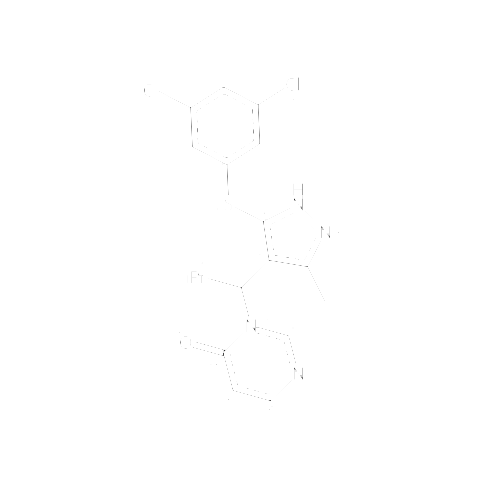 Cc1n[nH]c(Sc2cc(Cl)cc(Cl)c2)c1C(C(C)C)n1cnccc1=O